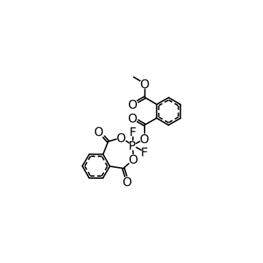 COC(=O)c1ccccc1C(=O)OP1(F)(F)OC(=O)c2ccccc2C(=O)O1